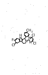 Cc1ccc(C2c3[nH]c4cc(F)c(Cl)cc4c3CCN2c2nc(Cl)cc(Cl)n2)cc1